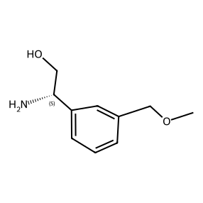 COCc1cccc([C@H](N)CO)c1